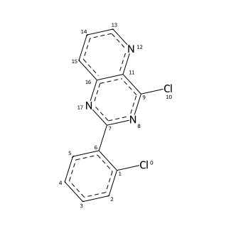 Clc1ccccc1-c1nc(Cl)c2ncccc2n1